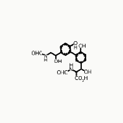 O=CNCC(O)c1ccc(O)c(-c2cc(C(O)C(NC=O)C(=O)O)ccc2O)c1